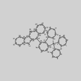 c1ccc(C2(c3ccccc3)c3ccccc3-c3c(-c4c5ccccc5nc5c4sc4ccccc45)cccc32)cc1